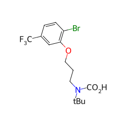 CC(C)(C)N(CCCOc1cc(C(F)(F)F)ccc1Br)C(=O)O